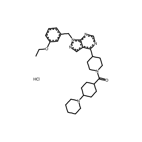 CCOc1cccc(Cn2ncc3c(C4CCN(C(=O)C5CCC(N6CCCCC6)CC5)CC4)ncnc32)c1.Cl